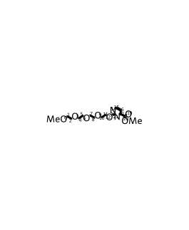 COCCOCCOCCOCCOc1nccc(C(=O)OC)n1